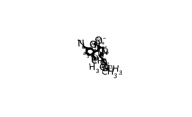 COc1ccc(C#N)cc1-c1c([N+](=O)[O-])cnn1CCOC[Si](C)(C)C